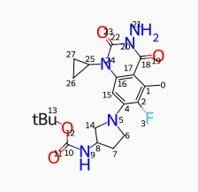 Cc1c(F)c(N2CCC(NC(=O)OC(C)(C)C)C2)cc2c1c(=O)n(N)c(=O)n2C1CC1